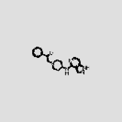 O=C(CN1CCC(Nc2nccc3[nH]ncc23)CC1)c1ccccc1